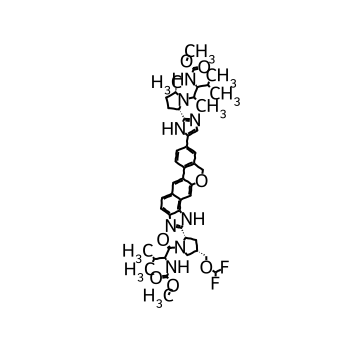 COC(=O)N[C@@H](C(C)C)C(C)N1[C@@H](C)CC[C@H]1c1ncc(-c2ccc3c(c2)COc2cc4c(ccc5nc([C@@H]6C[C@H](COC(F)F)CN6C(=O)[C@@H](NC(=O)OC)C(C)C)[nH]c54)cc2-3)[nH]1